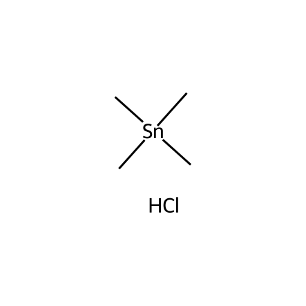 Cl.[CH3][Sn]([CH3])([CH3])[CH3]